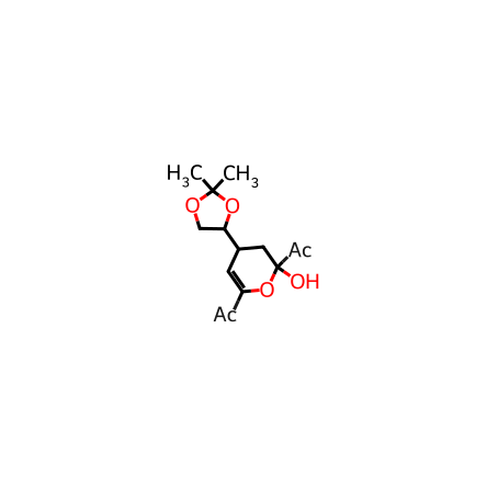 CC(=O)C1=CC(C2COC(C)(C)O2)CC(O)(C(C)=O)O1